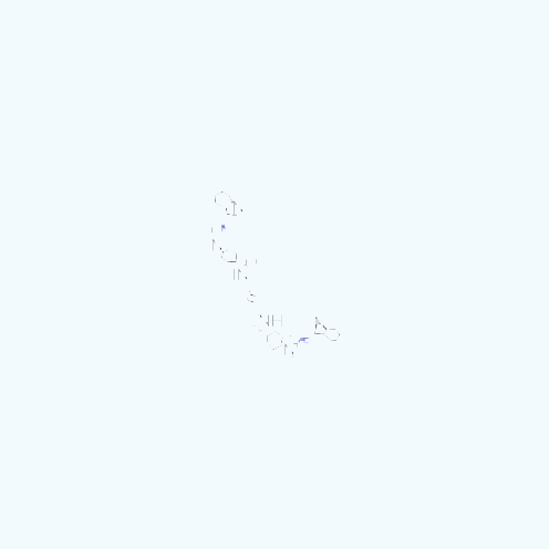 Cn1cc(/C=C/C23OCCN2c2ccc(C(=O)NCCSSCCNC(=O)c4ccc5c(c4)C(C)(C)C4(/C=C/c6cn(C)c7ccccc67)OCCN54)cc2C3(C)C)c2ccccc21